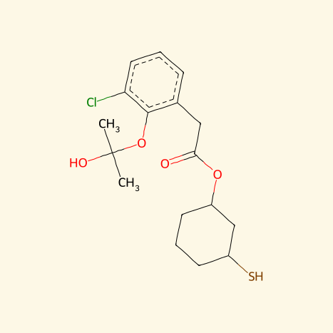 CC(C)(O)Oc1c(Cl)cccc1CC(=O)OC1CCCC(S)C1